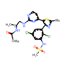 COC(=O)N[C@@H](C)CNc1nccc(-c2sc(C(C)(C)C)nc2-c2cc(Cl)cc(NS(C)(=O)=O)c2Cl)n1